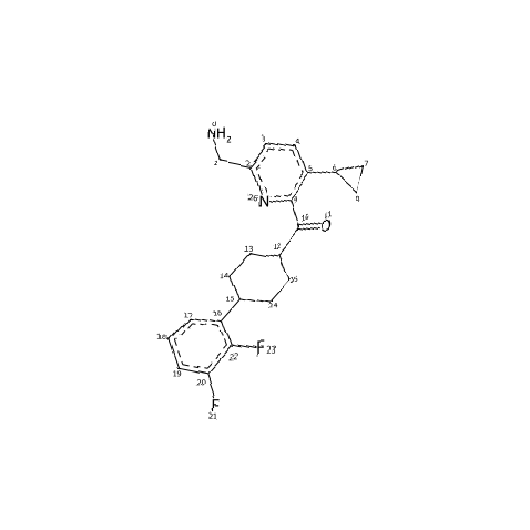 NCc1ccc(C2CC2)c(C(=O)C2CCC(c3cccc(F)c3F)CC2)n1